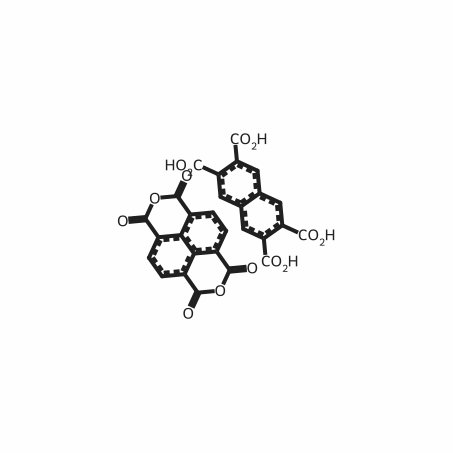 O=C(O)c1cc2cc(C(=O)O)c(C(=O)O)cc2cc1C(=O)O.O=C1OC(=O)c2ccc3c4c(ccc1c24)C(=O)OC3=O